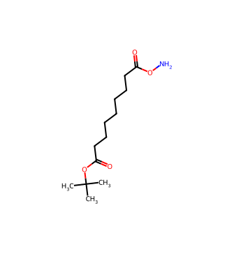 CC(C)(C)OC(=O)CCCCCCCC(=O)ON